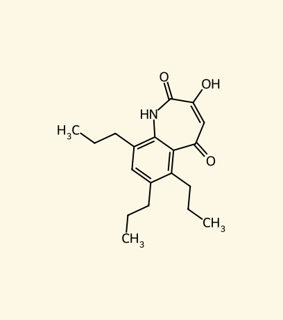 CCCc1cc(CCC)c2[nH]c(=O)c(O)cc(=O)c2c1CCC